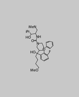 CNCC(NC(=O)N1CCCC(C(O)(CCCCOC)c2cccc(F)c2Oc2ccccc2)C1)C(O)C(C)C